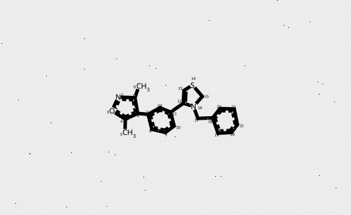 Cc1noc(C)c1-c1cccc(C2=CS[CH]N2Cc2ccccc2)c1